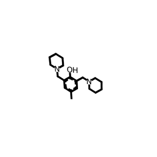 Cc1cc(CN2CCCCC2)c(O)c(CN2CCCCC2)c1